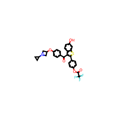 O=C(c1ccc(OC2CN(C3CC3)C2)cc1)c1c(-c2ccc(OC(=O)C(F)(F)F)cc2)sc2cc(O)ccc12